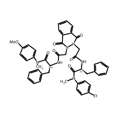 CCc1ccc(N(C)C(=O)[C@H](Cc2ccccc2)NC(=O)Cn2c(=O)c3ccccc3c(=O)n2CC(=O)N[C@@H](Cc2ccccc2)C(=O)N(C)c2ccc(OC)cc2)cc1